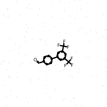 O=Cc1ccc(-c2cc(C(F)(F)F)cc(C(F)(F)F)c2)cc1